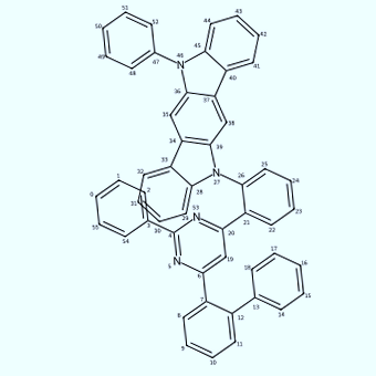 c1ccc(-c2nc(-c3ccccc3-c3ccccc3)cc(-c3ccccc3-n3c4ccccc4c4cc5c(cc43)c3ccccc3n5-c3ccccc3)n2)cc1